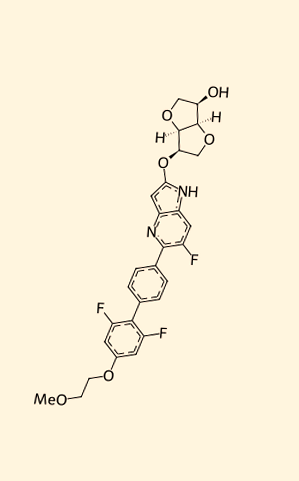 COCCOc1cc(F)c(-c2ccc(-c3nc4cc(O[C@@H]5CO[C@H]6[C@@H]5OC[C@H]6O)[nH]c4cc3F)cc2)c(F)c1